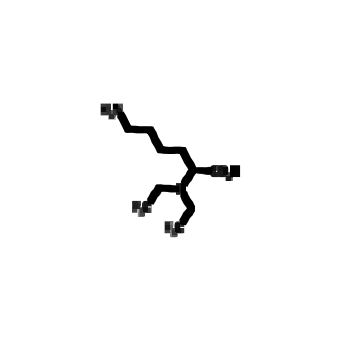 NCCCC[C@@H](C(=O)O)N(CC(F)(F)F)CC(F)(F)F